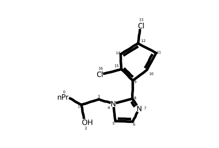 CCCC(O)Cn1ccnc1-c1ccc(Cl)cc1Cl